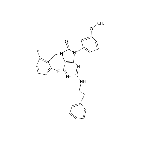 COc1cccc(-n2c(=O)n(Cc3c(F)cccc3F)c3cnc(NCCc4ccccc4)nc32)c1